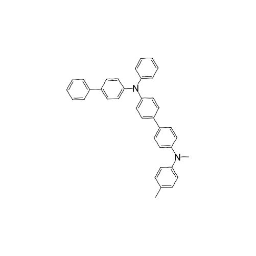 Cc1ccc(N(C)c2ccc(-c3ccc(N(c4ccccc4)c4ccc(-c5ccccc5)cc4)cc3)cc2)cc1